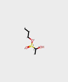 CCCOS(=O)C(C)O